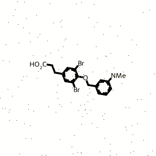 CNc1cccc(COc2c(Br)cc(CCC(=O)O)cc2Br)c1